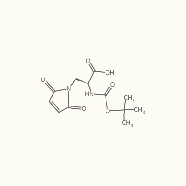 CC(C)(C)OC(=O)N[C@@H](CN1C(=O)C=CC1=O)C(=O)O